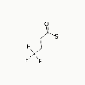 O=C([S])CCC(F)(F)F